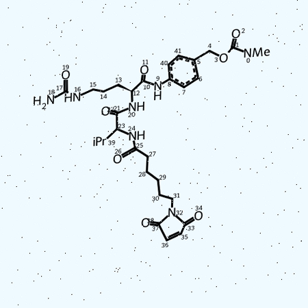 CNC(=O)OCc1ccc(NC(=O)[C@H](CCCNC(N)=O)NC(=O)C(NC(=O)CCCCCN2C(=O)C=CC2=O)C(C)C)cc1